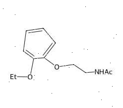 CCOc1ccccc1OCCNC(C)=O